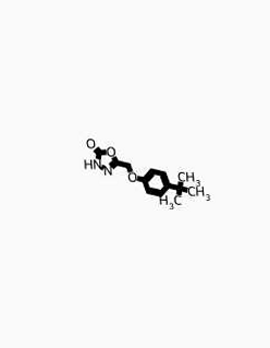 CC(C)(C)c1ccc(OCc2n[nH]c(=O)o2)cc1